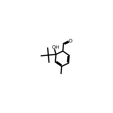 CC1=CC(O)(C(C)(C)C)C(C=O)C=C1